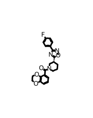 O=C(c1cccc2c1OCCO2)N1CCC[C@H](c2nc(-c3ccc(F)cc3)no2)C1